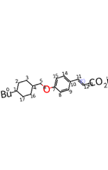 CCCCC1CCC(COc2ccc(/C=C/C(=O)O)cc2)CC1